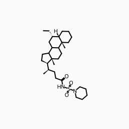 CC[C@H]1CC2C3CC[C@H]([C@H](C)CCC(=O)NS(=O)(=O)N4CCCCC4)[C@@]3(C)CCC2[C@@]2(C)CCCC[C@@H]12